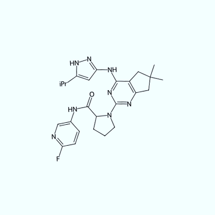 CC(C)c1cc(Nc2nc(N3CCCC3C(=O)Nc3ccc(F)nc3)nc3c2CC(C)(C)C3)n[nH]1